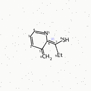 C=c1cccn/c1=C(\S)CC